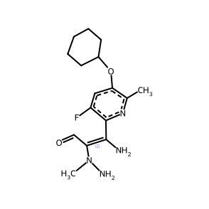 Cc1nc(/C(N)=C(\C=O)N(C)N)c(F)cc1OC1CCCCC1